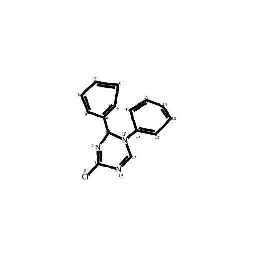 ClC1=NC(c2ccccc2)N(c2ccccc2)C=N1